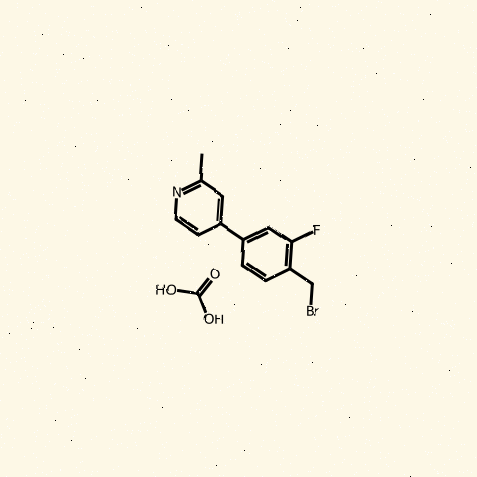 Cc1cc(-c2ccc(CBr)c(F)c2)ccn1.O=C(O)O